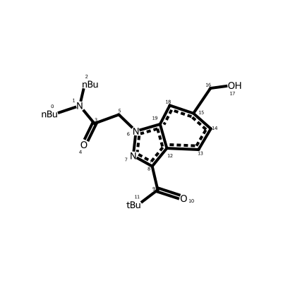 CCCCN(CCCC)C(=O)Cn1nc(C(=O)C(C)(C)C)c2ccc(CO)cc21